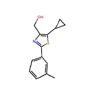 Cc1cccc(-c2nc(CO)c(C3CC3)s2)c1